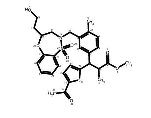 COC(=O)C(C)C(c1ccc(C)c(CN2CC(CCO)Oc3ccccc3S2(=O)=O)c1)c1ccc(C(C)=O)s1